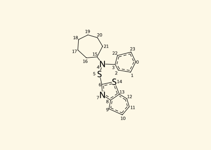 c1ccc(N(Sc2nc3ccccc3s2)C2CCCCCC2)cc1